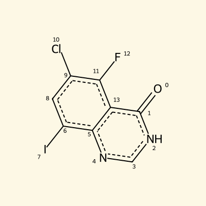 O=c1[nH]cnc2c(I)cc(Cl)c(F)c12